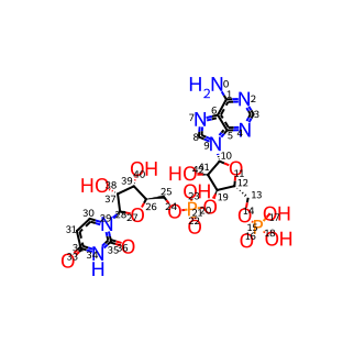 Nc1ncnc2c1ncn2[C@@H]1O[C@H](COP(=O)(O)O)[C@@H](OP(=O)(O)OC[C@H]2O[C@@H](n3ccc(=O)[nH]c3=O)[C@H](O)[C@@H]2O)[C@H]1O